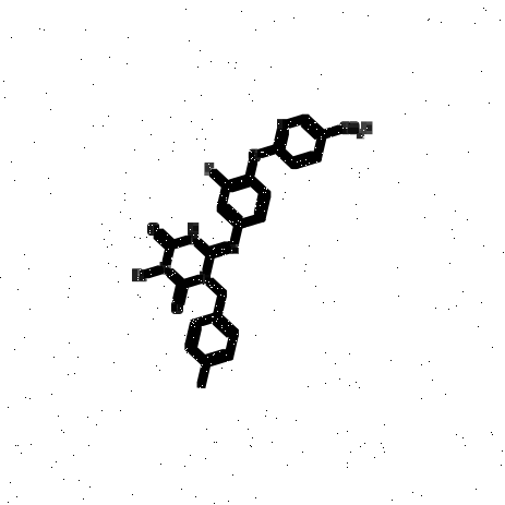 CCn1c(=O)[nH]/c(=N\c2ccc(Oc3ccc(C(=O)O)cn3)c(F)c2)n(Cc2ccc(C)cc2)c1=O